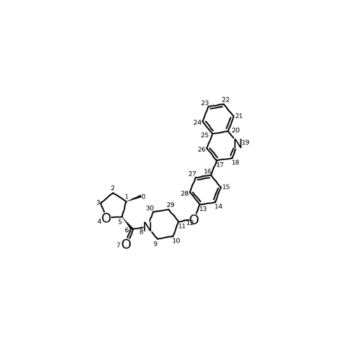 C[C@@H]1CCO[C@@H]1C(=O)N1CCC(Oc2ccc(-c3cnc4ccccc4c3)cc2)CC1